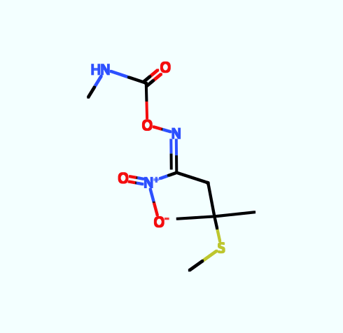 CNC(=O)ON=C(CC(C)(C)SC)[N+](=O)[O-]